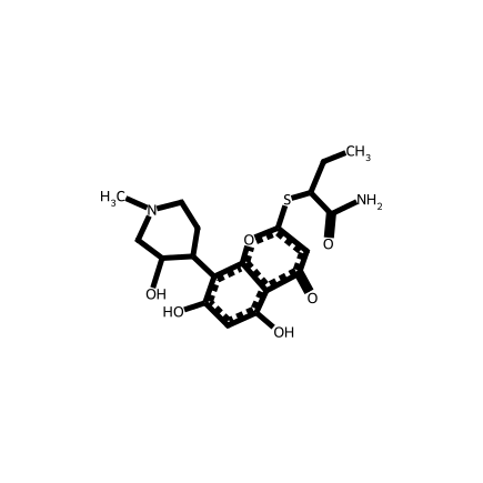 CCC(Sc1cc(=O)c2c(O)cc(O)c(C3CCN(C)CC3O)c2o1)C(N)=O